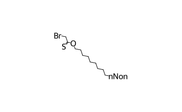 CCCCCCCCCCCCCCCCCCOC(=S)CBr